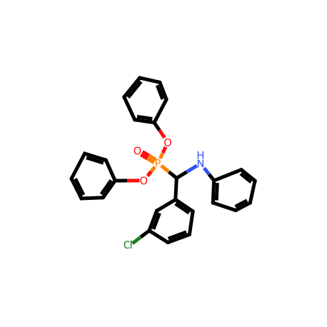 O=P(Oc1ccccc1)(Oc1ccccc1)C(Nc1ccccc1)c1cccc(Cl)c1